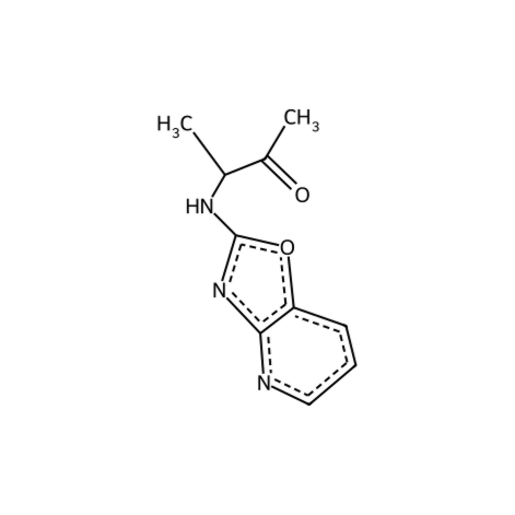 CC(=O)C(C)Nc1nc2ncccc2o1